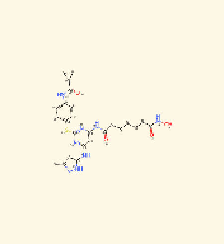 CC1=NNC(Nc2cc(NC(=O)CCCCCC(=O)NO)nc(Sc3ccc(NC(=O)C4CC4)cc3)n2)C1